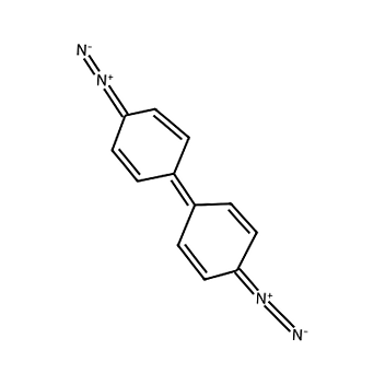 [N-]=[N+]=C1C=CC(=C2C=CC(=[N+]=[N-])C=C2)C=C1